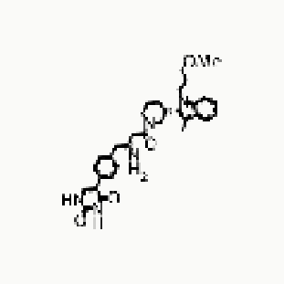 COCCCn1c([C@H]2CCCN(C(=O)C[C@H](N)Cc3ccc(-c4c[nH]c(=O)[nH]c4=O)cc3)C2)c(C)c2ccccc21